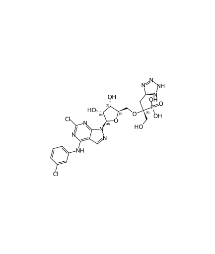 O=P(O)(O)[C@@](CO)(Cc1nn[nH]n1)OC[C@H]1O[C@@H](n2ncc3c(Nc4cccc(Cl)c4)nc(Cl)nc32)[C@H](O)[C@@H]1O